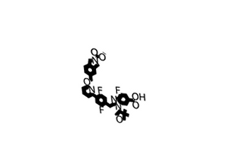 COC(=O)N1Cc2ccc(COc3cccc(-c4cc(F)c(Cc5nc6c(F)cc(C(=O)O)cc6n5[C@@H]5COCC5(C)C)cc4F)n3)cc2C1